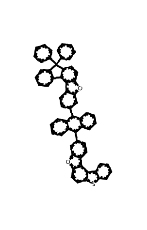 c1ccc(C2(c3ccccc3)c3ccccc3-c3c2ccc2oc4cc(-c5c6ccccc6c(-c6ccc7c(c6)oc6ccc8sc9ccccc9c8c67)c6ccccc56)ccc4c32)cc1